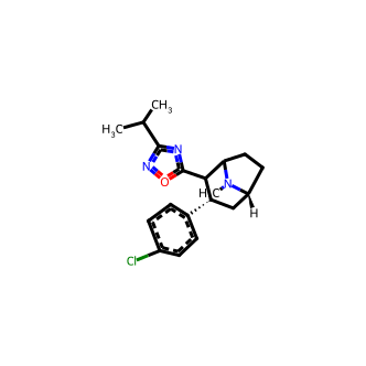 CC(C)c1noc(C2C3CC[C@H](C[C@@H]2c2ccc(Cl)cc2)N3C)n1